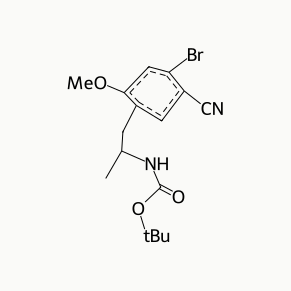 COc1cc(Br)c(C#N)cc1CC(C)NC(=O)OC(C)(C)C